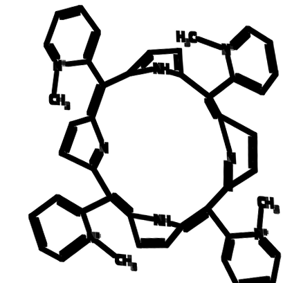 C[n+]1ccccc1-c1c2nc(c(-c3cccc[n+]3C)c3ccc([nH]3)c(-c3cccc[n+]3C)c3nc(c(-c4cccc[n+]4C)c4ccc1[nH]4)C=C3)C=C2